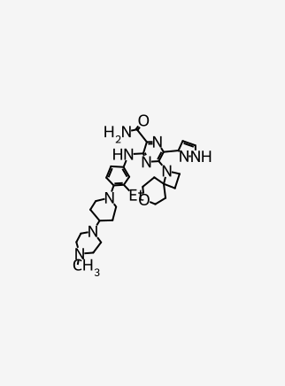 CCc1cc(Nc2nc(N3CCC34CCOCC4)c(-c3cc[nH]n3)nc2C(N)=O)ccc1N1CCC(N2CCN(C)CC2)CC1